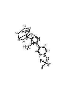 Cn1c(-c2ccc(OC(F)(F)F)cc2)nnc1C12CC3CC(CC(C3)C1)C2